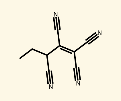 CCC(C#N)C(C#N)=C(C#N)C#N